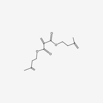 C=C(C)CCOC(=O)C(=C)C(=O)OCCC(=C)C